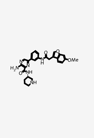 COc1ccc2c(CC(=O)Nc3cccc(-c4cnc(N)c(C(=O)N[C@H]5CCCNC5)n4)c3)coc2c1